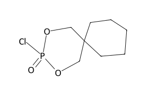 O=P1(Cl)OCC2(CCCCC2)CO1